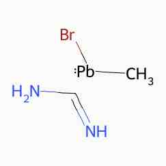 N=CN.[CH3][Pb][Br]